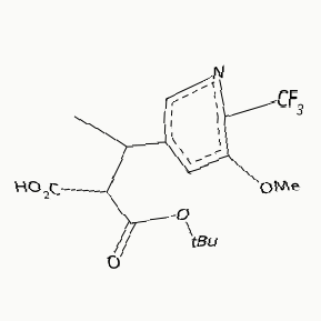 COc1cc(C(C)C(C(=O)O)C(=O)OC(C)(C)C)cnc1C(F)(F)F